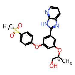 C[C@@H](CO)Oc1cc(Oc2ccc(S(C)(=O)=O)cc2)cc(-c2nc3cccnc3[nH]2)c1